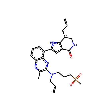 C=CC[C@H]1CNC(=O)c2cc(-c3cccc4nc(C)c(N(CC=C)CCCS(C)(=O)=O)nc34)[nH]c21